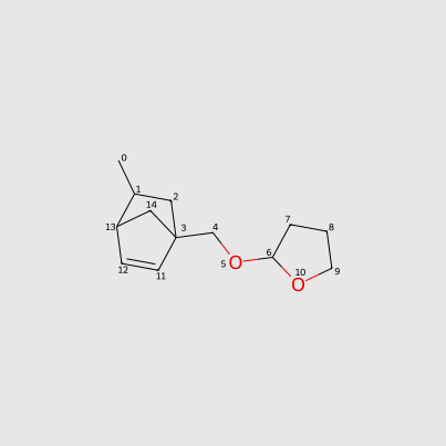 CC1CC2(COC3CCCO3)C=CC1C2